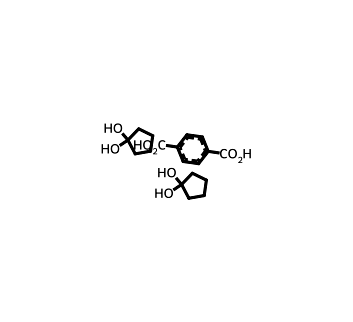 O=C(O)c1ccc(C(=O)O)cc1.OC1(O)CCCC1.OC1(O)CCCC1